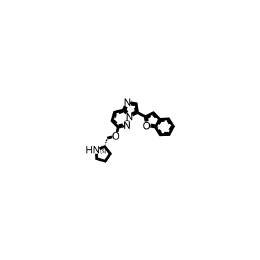 c1ccc2oc(-c3cnc4ccc(OC[C@@H]5CCCN5)nn34)cc2c1